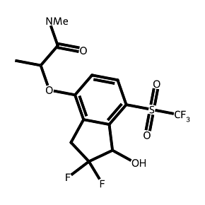 CNC(=O)C(C)Oc1ccc(S(=O)(=O)C(F)(F)F)c2c1CC(F)(F)C2O